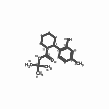 Cc1ccc(C2CCCCN2C(=O)OC(C)(C)C)c(S)c1